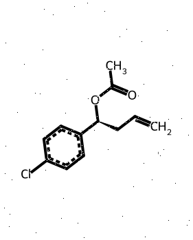 C=CC[C@H](OC(C)=O)c1ccc(Cl)cc1